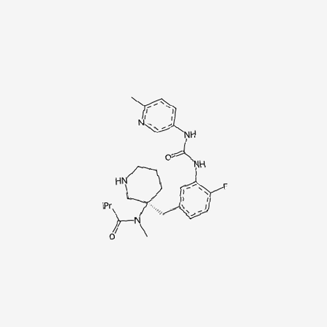 Cc1ccc(NC(=O)Nc2cc(C[C@@]3(N(C)C(=O)C(C)C)CCCNC3)ccc2F)cn1